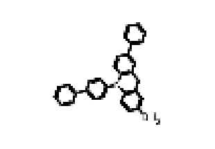 Bc1ccc2c(c1)Cc1cc(-c3ccccc3)ccc1N2c1ccc(-c2ccccc2)cc1